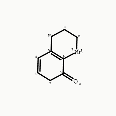 O=C1CC=CC2=C1NCCC2